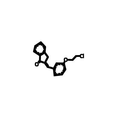 O=C1/C(=C/c2cccc(OCCCl)c2)Cc2ccccc21